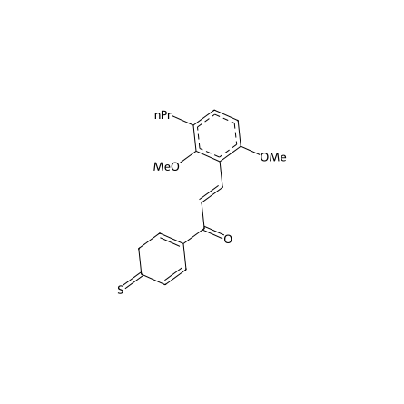 CCCc1ccc(OC)c(C=CC(=O)C2=CCC(=S)C=C2)c1OC